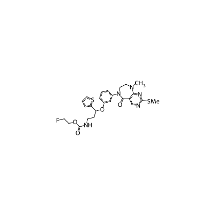 CSc1ncc2c(n1)N(C)CCN(c1cccc(OC(CCNC(=O)OCCF)c3cccs3)c1)C2=O